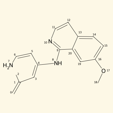 C=C(C)/C=C(\C=C/N)Nc1nccc2ccc(OC)cc12